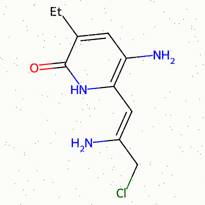 CCc1cc(N)c(/C=C(\N)CCl)[nH]c1=O